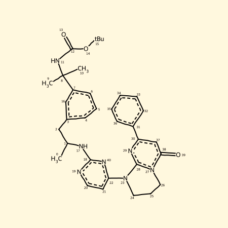 CC(Cc1cccc(C(C)(C)NC(=O)OC(C)(C)C)c1)Nc1nccc(N2CCCn3c2nc(-c2ccccc2)cc3=O)n1